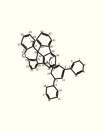 CN(C1=CC(C2=CCCC=C2)=CC(C2C=CC=CC2)C1)c1cccc2c1C1(c3ccccc3O2)c2ccccc2-c2ccccc21